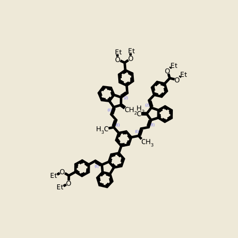 C=C1/C(=C/c2ccc(C(OCC)OCC)cc2)c2ccccc2/C1=C/C=C(\C)c1cc(/C(C)=C/C=C2\C(=C)/C(=C/c3ccc(C(OCC)OCC)cc3)c3ccccc32)cc(-c2ccc3c(c2)/C(=C/c2ccc(C(OCC)OCC)cc2)c2ccccc2-3)c1